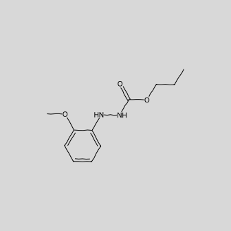 CCCOC(=O)NNc1ccccc1OC